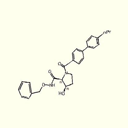 CCCc1ccc(-c2ccc(C(=O)N3CC[C@@H](O)[C@H]3C(=O)NOCc3ccccc3)cc2)cc1